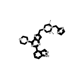 C[C@@H]1CN(Cc2cc3nc(-c4cccc5[nH]ncc45)nc(N4CCOCC4)c3s2)C[C@H](C)N1Cc1nccs1